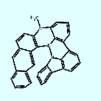 CN1c2cccc3c2B(c2c1ccc1cc4ccccc4cc21)n1c2ccccc2c2cccc-3c21